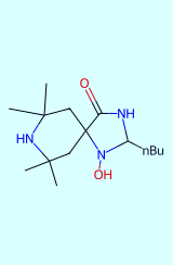 CCCCC1NC(=O)C2(CC(C)(C)NC(C)(C)C2)N1O